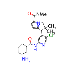 CNC(=O)c1ccc2n1CC(C)(C)C2c1cc(NC(=O)[C@H]2CCC[C@@H](N)C2)ncc1Cl